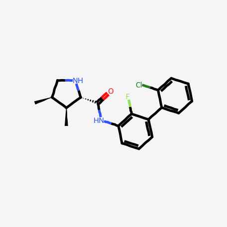 C[C@@H]1[C@@H](C(=O)Nc2cccc(-c3ccccc3Cl)c2F)NC[C@@H]1C